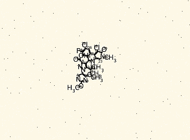 COc1ncc(-n2nc(C(=O)O)c(C(Nc3cc(Cl)c(=O)n(C)c3)c3ccc(Cl)c(F)c3)c2C(C)C)c(OC)n1